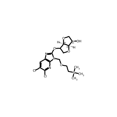 C[Si](C)(C)CCOCn1c(OC2CO[C@@H]3[C@H](O)CO[C@H]23)nc2cc(Cl)c(Cl)nc21